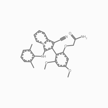 COc1cc(OC)c(-c2c(C#N)c3ccccn3c2Nc2c(C)cccc2C)c(OCC(N)=O)c1